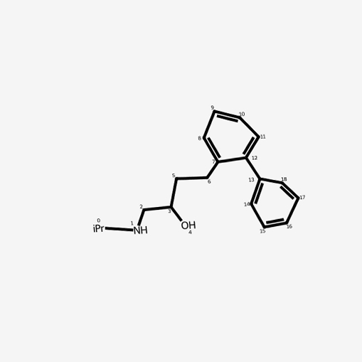 CC(C)NCC(O)CCc1ccccc1-c1ccccc1